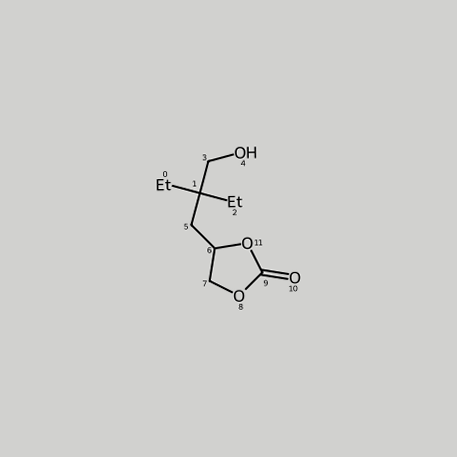 CCC(CC)(CO)CC1COC(=O)O1